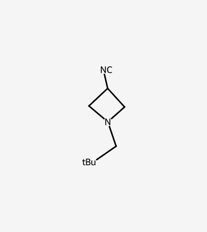 [C-]#[N+]C1CN(CC(C)(C)C)C1